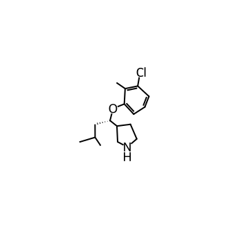 Cc1c(Cl)cccc1O[C@@H](CC(C)C)C1CCNC1